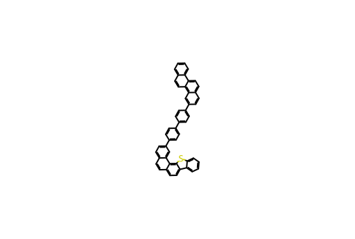 c1ccc2c(c1)ccc1c3cc(-c4ccc(-c5ccc(-c6ccc7ccc8ccc9c%10ccccc%10sc9c8c7c6)cc5)cc4)ccc3ccc21